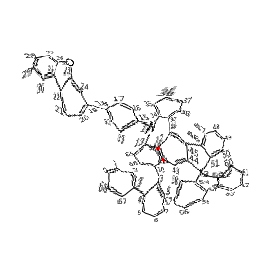 c1ccc(-c2ccccc2-c2ccc(N(c3ccc(-c4ccc5c(c4)oc4ccccc45)cc3)c3ccccc3-c3cccc4c3-c3ccccc3C4(c3ccccc3)c3ccccc3)cc2)cc1